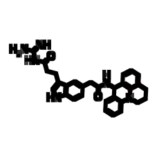 N=C(N)NC(=O)CCc1c[nH]c2ccc(CC(=O)NC(c3ccccc3)c3ccccc3N3CCCCC3)cc12